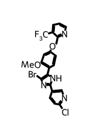 COc1cc(OCc2ncccc2C(F)(F)F)ccc1-c1[nH]c(-c2ccc(Cl)nc2)nc1Br